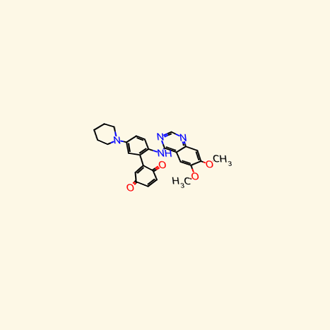 COc1cc2ncnc(Nc3ccc(N4CCCCC4)cc3C3=CC(=O)C=CC3=O)c2cc1OC